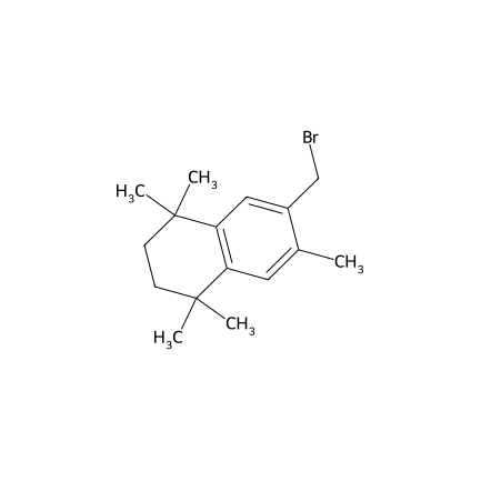 Cc1cc2c(cc1CBr)C(C)(C)CCC2(C)C